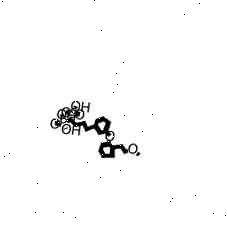 COCCc1ccccc1Oc1cccc(CCCC(P(=O)(O)O)S(=O)(=O)O)c1